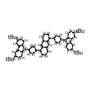 CC(C)(C)c1ccc2c(c1)c1cc(C(C)(C)C)ccc1n2-c1ccc(-c2cccc3cc4c(-c5ccc(-n6c7ccc(C(C)(C)C)cc7c7cc(C(C)(C)C)ccc76)cc5)cccc4cc23)cc1